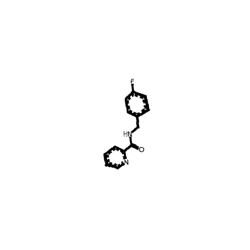 O=C(NCc1ccc(F)cc1)c1ccccn1